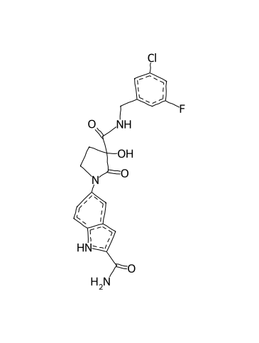 NC(=O)c1cc2cc(N3CCC(O)(C(=O)NCc4cc(F)cc(Cl)c4)C3=O)ccc2[nH]1